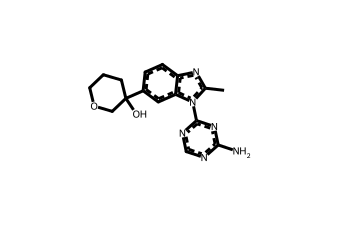 Cc1nc2ccc(C3(O)CCCOC3)cc2n1-c1ncnc(N)n1